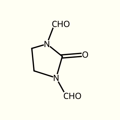 O=CN1CCN(C=O)C1=O